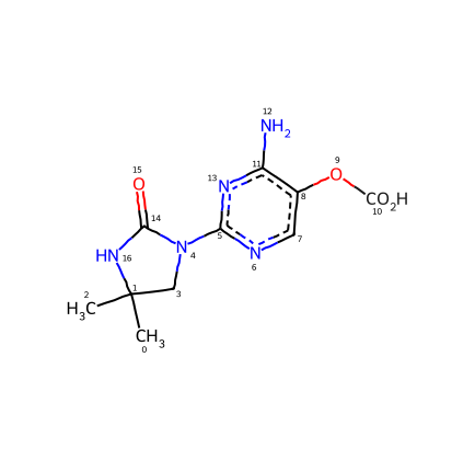 CC1(C)CN(c2ncc(OC(=O)O)c(N)n2)C(=O)N1